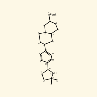 CCCCCC1CCC2CC(c3ccc(C4NC(C)(C)CO4)cc3)CCC2C1